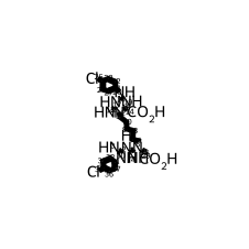 N=C(NC(=N)N(CCCCCCN(CC(=O)O)C(=N)NC(=N)Nc1ccc(Cl)cc1)CC(=O)O)Nc1ccc(Cl)cc1